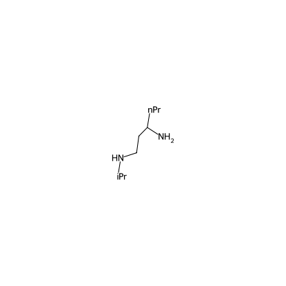 CCCC(N)CCNC(C)C